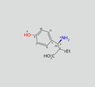 CCC(C(=O)O)[C@H](N)c1ccc(O)cc1